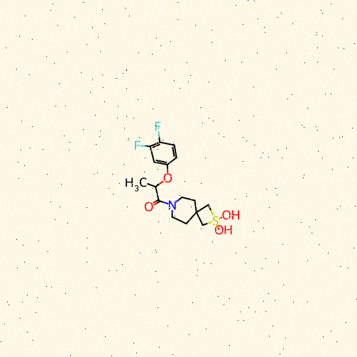 CC(Oc1ccc(F)c(F)c1)C(=O)N1CCC2(CC1)CS(O)(O)C2